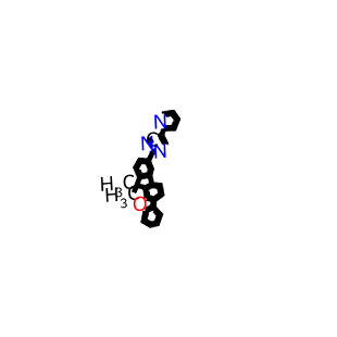 CC1(C)c2ccc(-c3ncc(-c4ccccn4)cn3)cc2-c2ccc3c(oc4ccccc43)c21